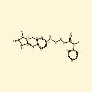 CC1C(=O)NC2=Nc3ccc(OCCCC(=O)N(C)c4ccccc4)cc3CN21